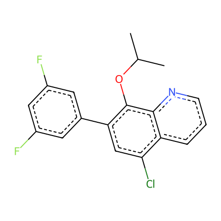 CC(C)Oc1c(-c2cc(F)cc(F)c2)cc(Cl)c2cccnc12